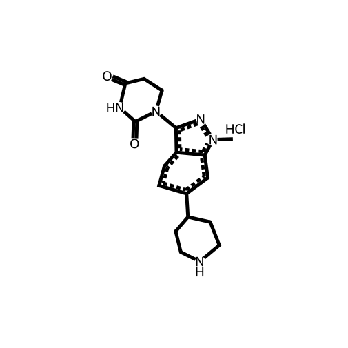 Cl.Cn1nc(N2CCC(=O)NC2=O)c2ccc(C3CCNCC3)cc21